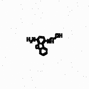 Nc1ccc(NCCO)c2c1oc1ccccc12